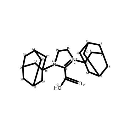 O=C(O)C1=[N+](C23CC4CC(CC(C4)C2)C3)CCN1C12CC3CC(CC(C3)C1)C2